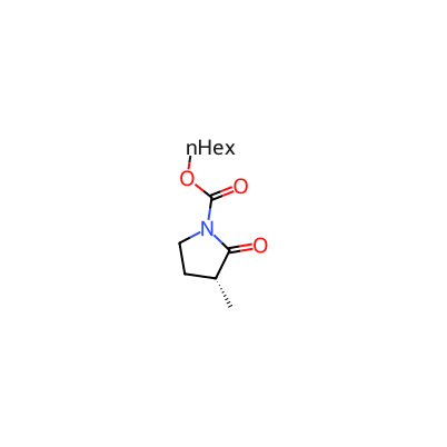 CCCCCCOC(=O)N1CC[C@@H](C)C1=O